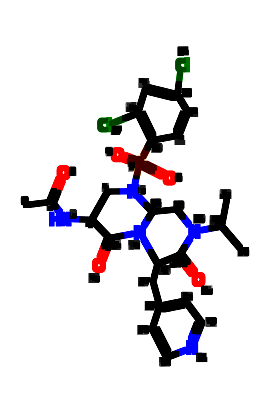 CC(=O)NC1CN(S(=O)(=O)c2ccc(Cl)cc2Cl)C2CN(C(C)C)C(=O)C(Cc3ccncc3)N2C1=O